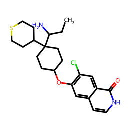 CCC(N)C1(C2CCSCC2)CCC(Oc2cc3cc[nH]c(=O)c3cc2Cl)CC1